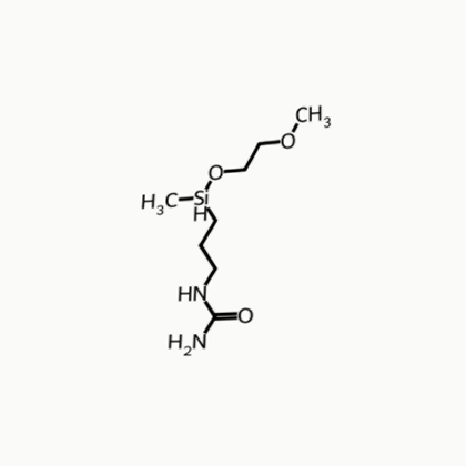 COCCO[SiH](C)CCCNC(N)=O